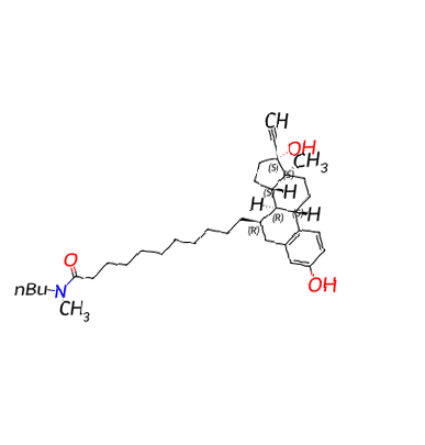 C#C[C@]1(O)CC[C@H]2[C@@H]3[C@H](CCCCCCCCCCC(=O)N(C)CCCC)Cc4cc(O)ccc4[C@H]3CC[C@@]21C